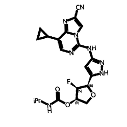 CC(C)NC(=O)O[C@@H]1CO[C@H](c2cc(Nc3ncc(C4CC4)c4nc(C#N)cn34)n[nH]2)[C@@H]1F